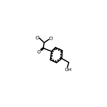 O=C(c1ccc(CO)cc1)C(Cl)Cl